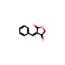 O=C1COC(=O)/C1=C\c1ccccc1